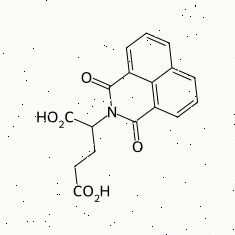 O=C(O)CCC(C(=O)O)N1C(=O)c2cccc3cccc(c23)C1=O